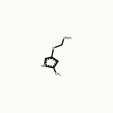 CCCCCCOc1c[nH]c(C)c1